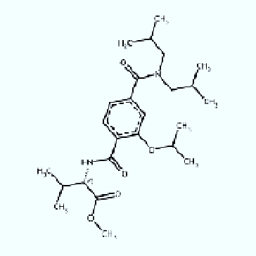 COC(=O)[C@@H](NC(=O)c1ccc(C(=O)N(CC(C)C)CC(C)C)cc1OC(C)C)C(C)C